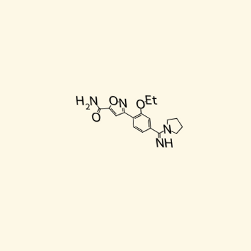 CCOc1cc(C(=N)N2CCCC2)ccc1-c1cc(C(N)=O)on1